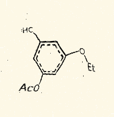 [CH]c1cc(OCC)cc(OC(C)=O)c1